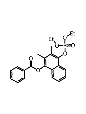 CCOP(=O)(OCC)Oc1c(C)c(C)c(OC(=O)c2ccccc2)c2ccccc12